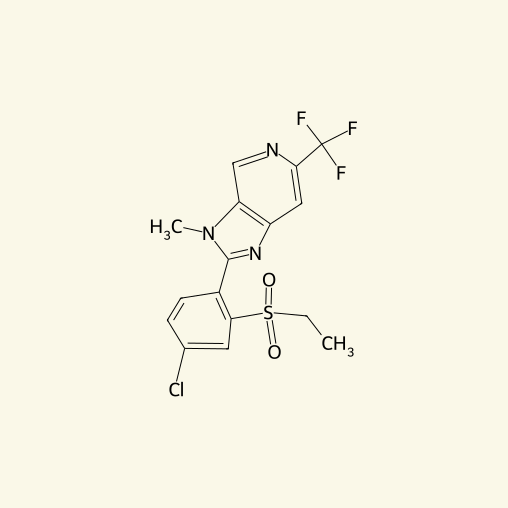 CCS(=O)(=O)c1cc(Cl)ccc1-c1nc2cc(C(F)(F)F)ncc2n1C